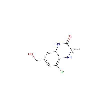 C[C@@H]1Nc2c(Br)cc(CO)cc2NC1=O